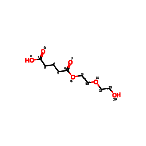 O=C(O)CCCC(=O)OCCOCCO